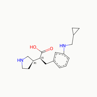 O=C(O)[C@@H](Cc1cccc(NCC2CC2)c1)[C@H]1CCNC1